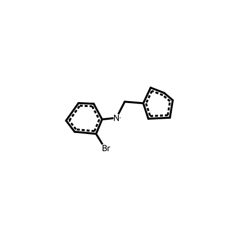 Brc1ccccc1[N]Cc1ccccc1